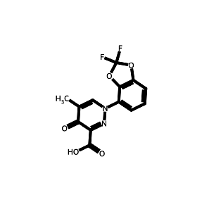 Cc1cn(-c2cccc3c2OC(F)(F)O3)nc(C(=O)O)c1=O